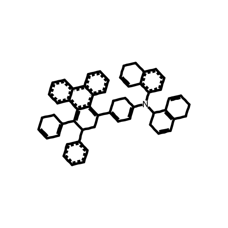 C1=CCCC(C2=c3c(c4ccccc4c4ccccc34)=C(C3=CC=C(N(c4cccc5c4C=CCC5)C4CC=CC5=C4C=CCC5)CC3)CC2c2ccccc2)=C1